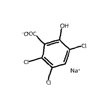 O=C([O-])c1c(O)c(Cl)cc(Cl)c1Cl.[Na+]